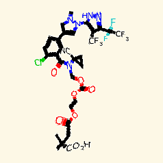 CN1CC(c2ccc(Cl)c(C(=O)N(COC(=O)OCCOC(=O)CC(C)(C)C(=O)O)C3(C#N)CC3)c2)=CN1c1[nH]nc(C(F)(F)C(F)(F)F)c1C(F)(F)F